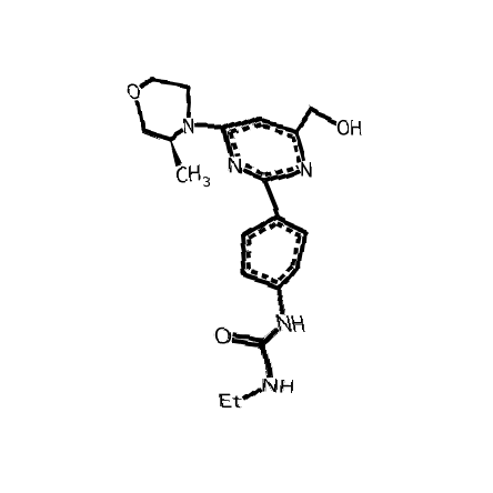 CCNC(=O)Nc1ccc(-c2nc(CO)cc(N3CCOC[C@@H]3C)n2)cc1